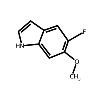 COc1cc2[nH]ccc2cc1F